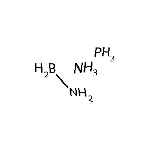 BN.N.P